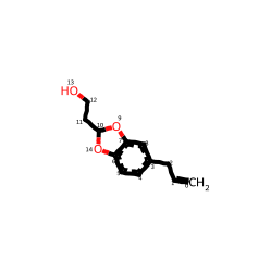 C=CCc1ccc2c(c1)OC(CCO)O2